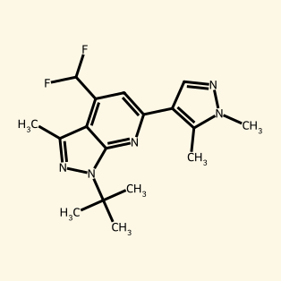 Cc1nn(C(C)(C)C)c2nc(-c3cnn(C)c3C)cc(C(F)F)c12